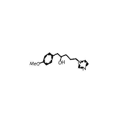 COc1ccc(CC(O)CCCn2ccnc2)cc1